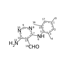 Cc1cc(C)c(Nc2ncnc(N)c2C=O)c(C)c1